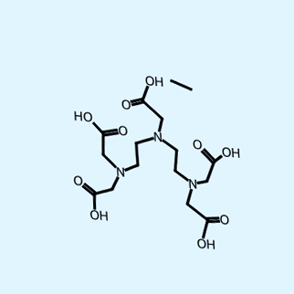 CC.O=C(O)CN(CCN(CC(=O)O)CC(=O)O)CCN(CC(=O)O)CC(=O)O